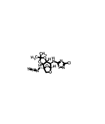 CC1(C)O[C@@H]2[C@@H](Nc3nc(Cl)ns3)[C@H]3OC[C@](CN=[N+]=[N-])(O3)[C@@H]2O1